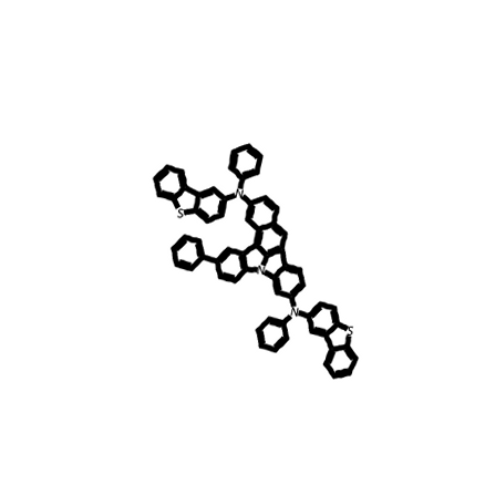 c1ccc(-c2ccc3c(c2)c2c4cc(N(c5ccccc5)c5ccc6sc7ccccc7c6c5)ccc4cc4c5ccc(N(c6ccccc6)c6ccc7sc8ccccc8c7c6)cc5n3c42)cc1